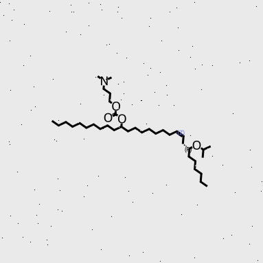 CCCCCCCCCCC(CCCCCCC/C=C\C[C@@H](CCCCCC)OC(C)C)OC(=O)OCCCN(C)C